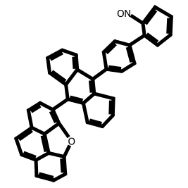 O=Nc1ccccc1-c1ccc(-c2c3ccccc3c(-c3ccc4ccc5cccc6oc3c4c56)c3ccccc23)cc1